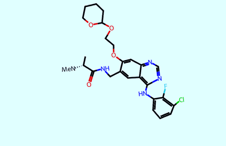 CN[C@H](C)C(=O)NCc1cc2c(Nc3cccc(Cl)c3F)ncnc2cc1OCCOC1CCCCO1